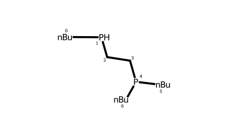 CCCCPCCP(CCCC)CCCC